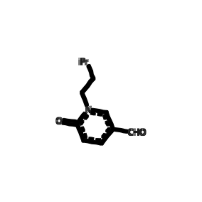 CC(C)CCn1cc(C=O)ccc1=O